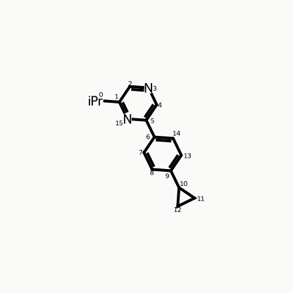 CC(C)c1cncc(-c2ccc(C3CC3)cc2)n1